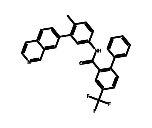 Cc1ccc(NC(=O)c2cc(C(F)(F)F)ccc2-c2ccccc2)cc1-c1ccc2ccncc2c1